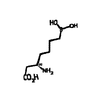 N[C@@H](CCCCB(O)O)CC(=O)O